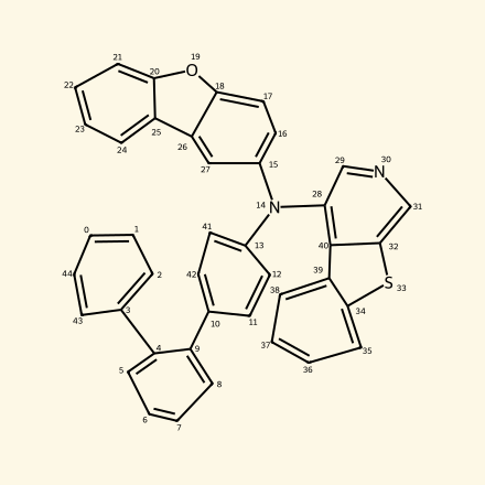 c1ccc(-c2ccccc2-c2ccc(N(c3ccc4oc5ccccc5c4c3)c3cncc4sc5ccccc5c34)cc2)cc1